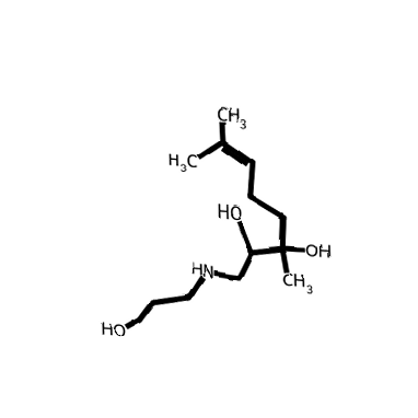 CC(C)=CCCC(C)(O)C(O)CNCCCO